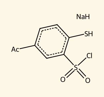 CC(=O)c1ccc(S)c(S(=O)(=O)Cl)c1.[NaH]